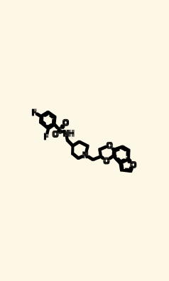 O=S(=O)(NCC1CCN(CC2COc3ccc4occc4c3O2)CC1)c1ccc(F)cc1F